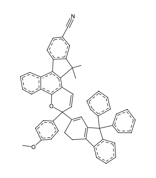 COc1ccc(C2(C3=CC4=C(CC3)c3ccccc3C4(c3ccccc3)c3ccccc3)C=Cc3c4c(c5ccccc5c3O2)-c2ccc(C#N)cc2C4(C)C)cc1